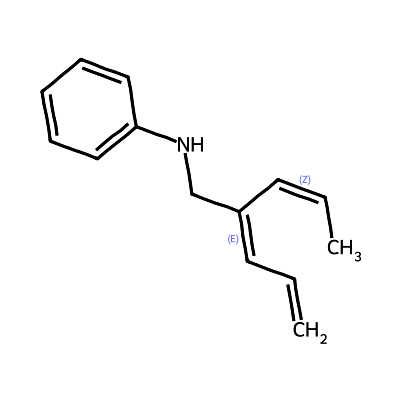 C=C/C=C(\C=C/C)CNc1ccccc1